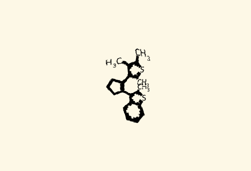 Cc1sc(C)c(C2=C(c3c(C)sc4ccccc34)CCC2)c1C